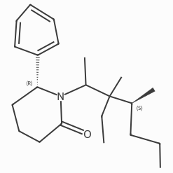 CCC[C@H](C)C(C)(CC)C(C)N1C(=O)CCC[C@@H]1c1ccccc1